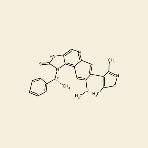 COc1cc2c(cc1-c1c(C)noc1C)ncc1[nH]c(=S)n([C@H](C)c3ccccc3)c12